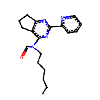 CCCCCCN(C=O)c1nc(-c2ccccn2)nc2c1CCC2